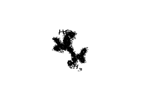 Cc1ccccc1C(=O)c1ccc(N(c2ccc(-c3ccc(N(c4ccc(C(=O)c5ccccc5O)cc4)c4ccc5c(c4)c4ccccc4n5-c4ccccc4)cc3)cc2)c2ccc3c(c2)c2ccccc2n3C2=CCCC=C2)cc1